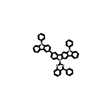 c1ccc(-c2nc(-n3c4ccc(-c5ccc6c(c5)c5ccccc5n6-c5ccccc5)cc4c4cc5c(cc43)c3ccccc3n5-c3ccccc3)nc3ccccc23)cc1